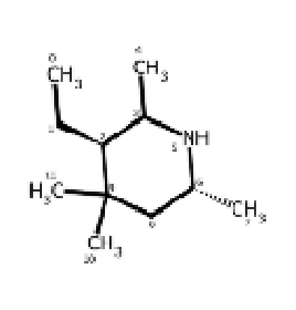 CC[C@H]1C(C)N[C@H](C)CC1(C)C